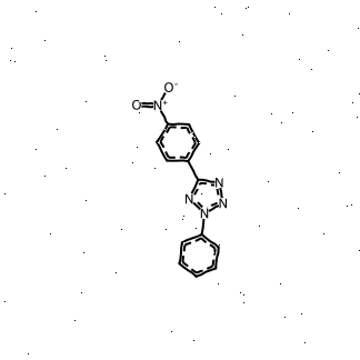 O=[N+]([O-])c1ccc(-c2nnn(-c3ccccc3)n2)cc1